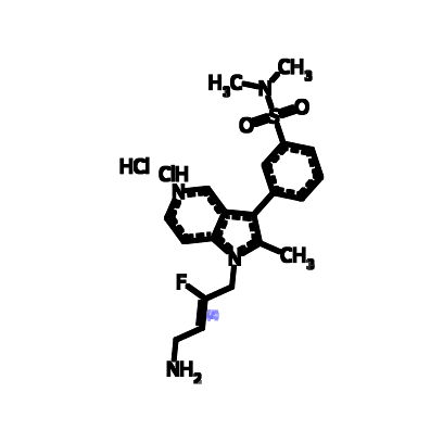 Cc1c(-c2cccc(S(=O)(=O)N(C)C)c2)c2cnccc2n1C/C(F)=C/CN.Cl.Cl